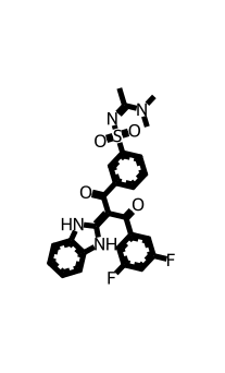 CC(=NS(=O)(=O)c1cccc(C(=O)C(C(=O)c2cc(F)cc(F)c2)=C2Nc3ccccc3N2)c1)N(C)C